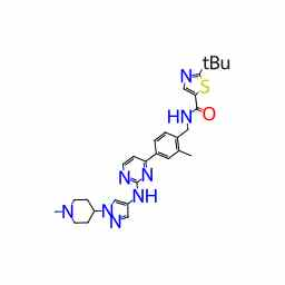 Cc1cc(-c2ccnc(Nc3cnn(C4CCN(C)CC4)c3)n2)ccc1CNC(=O)c1cnc(C(C)(C)C)s1